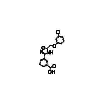 O=C(O)c1cccc(C2=NOC(COc3cccc(Cl)c3)N2)c1